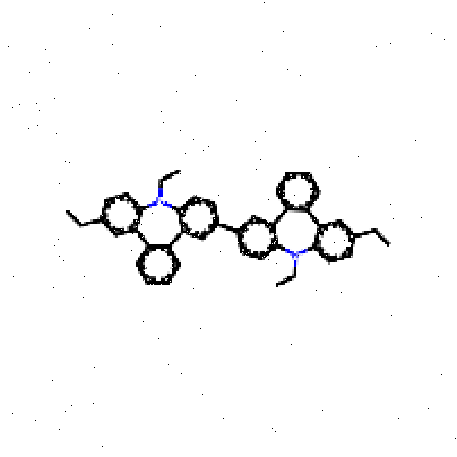 CCc1ccc2c(c1)-c1ccccc1-c1cc(-c3ccc4c(c3)-c3ccccc3-c3cc(CC)ccc3N4CC)ccc1N2CC